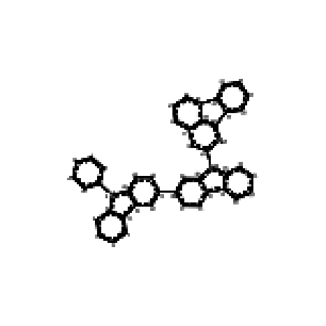 c1ccc(-n2c3ccccc3c3cc(-c4ccc5c6ccccc6n(-c6cc7cccc8c7c(n6)-c6ccccc6-8)c5c4)ccc32)cc1